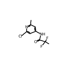 Cc1cc(NC(=O)C(C)(F)F)cc(Cl)n1